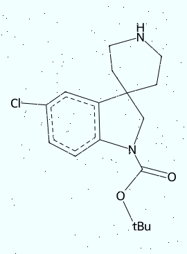 CC(C)(C)OC(=O)N1CC2(CCNCC2)c2cc(Cl)ccc21